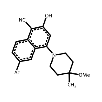 COC1(C)CCN(c2cc(O)c(C#N)c3ccc(C(C)=O)cc23)CC1